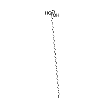 O=P(O)(O)CCCCCCCCCCCCCCCCCCCCCCCCCCCCCCCCCCCCI